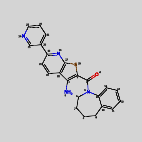 Nc1c(C(=O)N2CCCCc3ccccc32)sc2nc(-c3cccnc3)ccc12